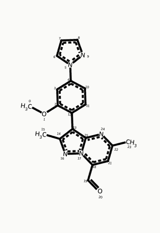 COc1cc(-n2cccn2)ccc1-c1c(C)nn2c(C=O)cc(C)nc12